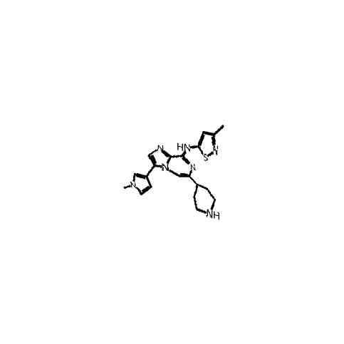 Cc1cc(Nc2nc(C3CCNCC3)cn3c(-c4ccn(C)c4)cnc23)sn1